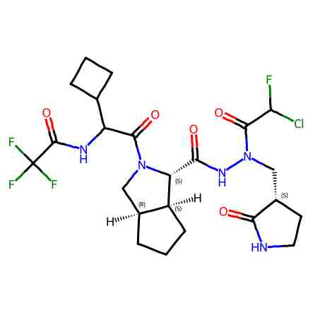 O=C1NCC[C@H]1CN(NC(=O)[C@@H]1[C@H]2CCC[C@H]2CN1C(=O)C(NC(=O)C(F)(F)F)C1CCC1)C(=O)C(F)Cl